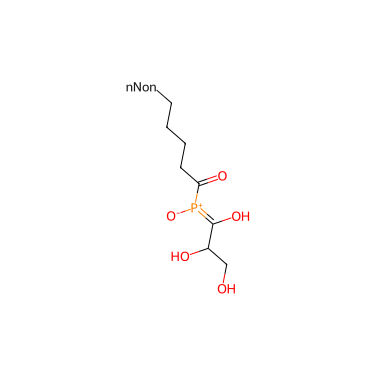 CCCCCCCCCCCCCC(=O)/[P+]([O-])=C(\O)C(O)CO